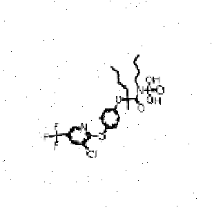 CCCCN(C(=O)C(C)(CCCC)Oc1ccc(Oc2ncc(C(F)(F)F)cc2Cl)cc1)P(=O)(O)O